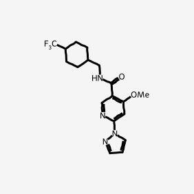 COc1cc(-n2cccn2)ncc1C(=O)NCC1CCC(C(F)(F)F)CC1